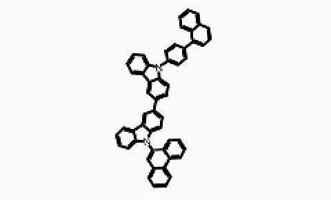 c1ccc2c(-c3ccc(-n4c5ccccc5c5cc(-c6ccc7c(c6)c6ccccc6n7-c6cc7ccccc7c7ccccc67)ccc54)cc3)cccc2c1